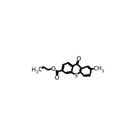 C=CCOC(=O)c1ccc2c(=O)c3cc(C)ccc3sc2c1